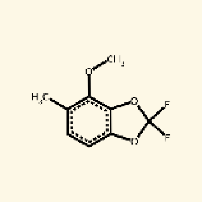 COc1c(C)ccc2c1OC(F)(F)O2